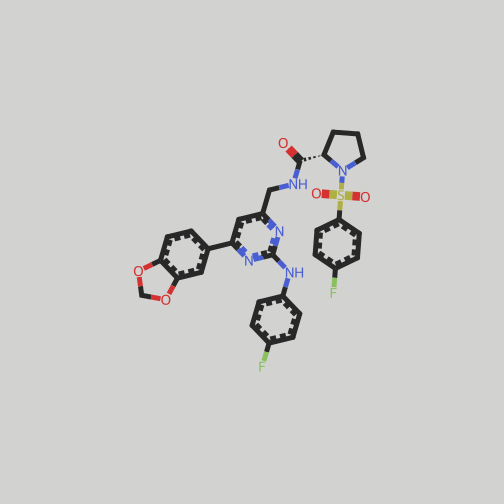 O=C(NCc1cc(-c2ccc3c(c2)OCO3)nc(Nc2ccc(F)cc2)n1)[C@@H]1CCCN1S(=O)(=O)c1ccc(F)cc1